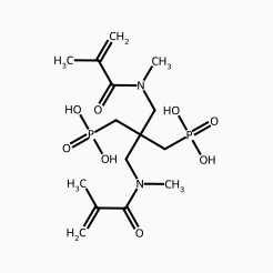 C=C(C)C(=O)N(C)CC(CN(C)C(=O)C(=C)C)(CP(=O)(O)O)CP(=O)(O)O